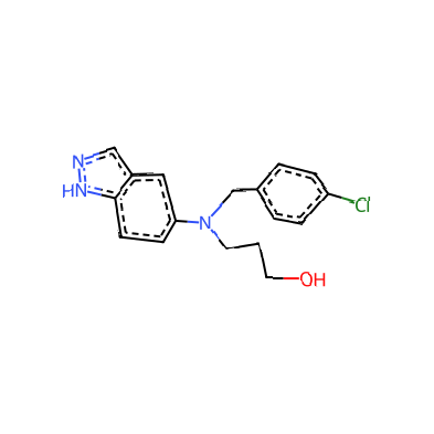 OCCCN(Cc1ccc(Cl)cc1)c1ccc2[nH]ncc2c1